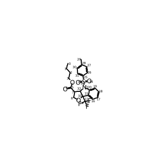 CCCCOC(=O)C1COC2(C(F)(F)F)c3ccccc3N(S(=O)(=O)c3ccc(C)cc3)C12